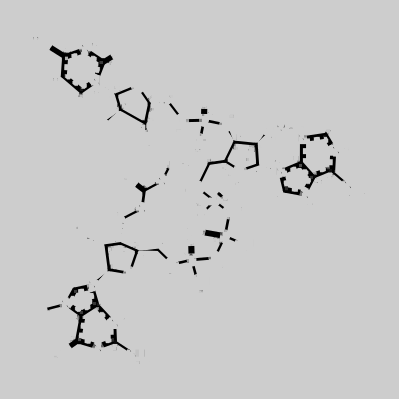 CCCCNC(=O)NC[C@H]1[C@@H](O)[C@H](n2c[n+](C)c3c(=O)[nH]c(N)nc32)O[C@@H]1COP(=O)(O)OP(=O)(O)OP(=O)(O)OCC1O[C@@H](n2cnc3c(N)ncnc32)[C@H](OC)[C@@H]1OP(=O)(O)OC[C@H]1O[C@@H](n2ccc(=O)[nH]c2=O)[C@H](O)[C@@H]1O